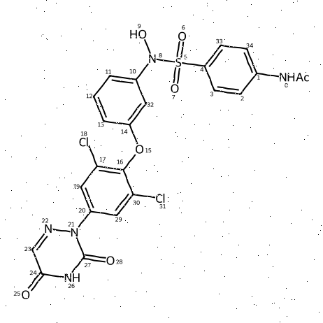 CC(=O)Nc1ccc(S(=O)(=O)N(O)c2cccc(Oc3c(Cl)cc(-n4ncc(=O)[nH]c4=O)cc3Cl)c2)cc1